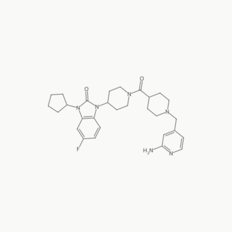 Nc1cc(CN2CCC(C(=O)N3CCC(n4c(=O)n(C5CCCC5)c5cc(F)ccc54)CC3)CC2)ccn1